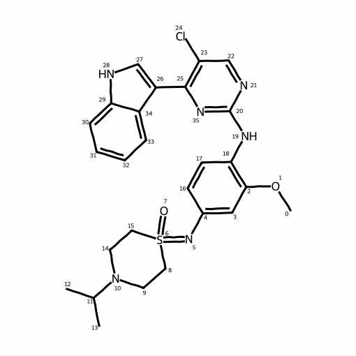 COc1cc(N=S2(=O)CCN(C(C)C)CC2)ccc1Nc1ncc(Cl)c(-c2c[nH]c3ccccc23)n1